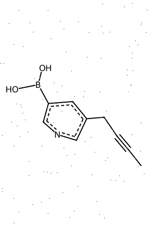 CC#CCc1cncc(B(O)O)c1